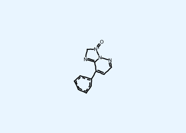 O=[N+]1CN=C2C(c3ccccc3)=CC=NN21